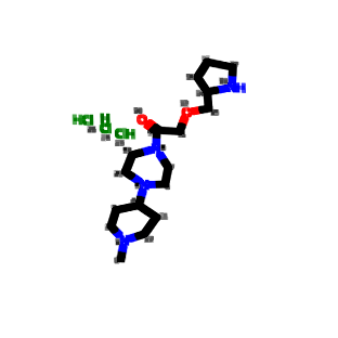 CN1CCC(N2CCN(C(=O)COCC3CCCN3)CC2)CC1.Cl.Cl.Cl